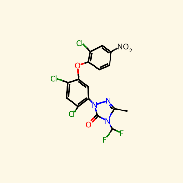 Cc1nn(-c2cc(Oc3ccc([N+](=O)[O-])cc3Cl)c(Cl)cc2Cl)c(=O)n1C(F)F